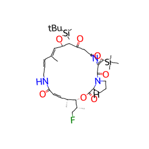 CC1=C\C(O[Si](C)(C)C(C)(C)C)CC(=O)Cc2nc(c([Si](C)(C)C)o2)C(=O)N2CCC[C@@H]2C(=O)O[C@H]([C@H](C)CF)[C@H](C)/C=C/C(=O)NC\C=C\1